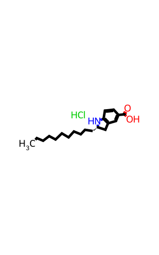 CCCCCCCCCCC[C@H]1Cc2cc(C(=O)O)ccc2N1.Cl